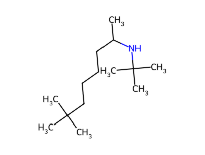 CC(CCCCC(C)(C)C)NC(C)(C)C